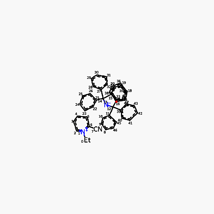 CC[n+]1ccccc1C#N.c1ccc(C([N-]C(c2ccccc2)(c2ccccc2)c2ccccc2)(c2ccccc2)c2ccccc2)cc1